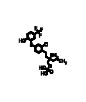 C=CC[C@](N)(CCc1ccc(Sc2cc(C(F)(F)F)ccc2O)cc1Cl)COP(=O)(O)O